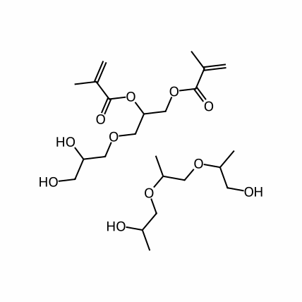 C=C(C)C(=O)OCC(COCC(O)CO)OC(=O)C(=C)C.CC(O)COC(C)COC(C)CO